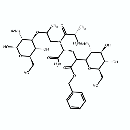 CC(=O)N[C@@H]1[C@@H](OC(C)CN(C(=O)[C@H](C)N)[C@H](CC(C(=O)OCc2ccccc2)C2O[C@H](CO)[C@@H](O)[C@H](O)[C@H]2NC(C)=O)C(N)=O)[C@H](O)[C@@H](CO)O[C@@H]1O